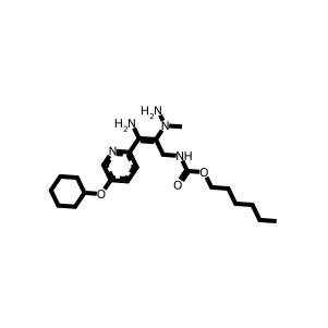 CCCCCCOC(=O)NC/C(=C(/N)c1ccc(OC2CCCCC2)cn1)N(C)N